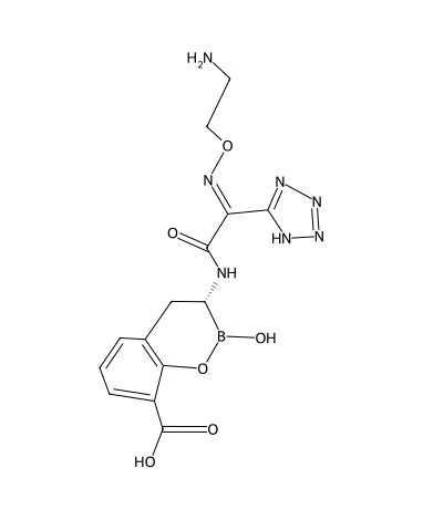 NCCO/N=C(/C(=O)N[C@H]1Cc2cccc(C(=O)O)c2OB1O)c1nnn[nH]1